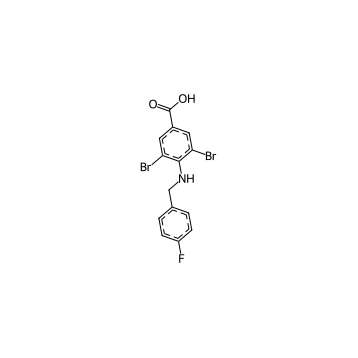 O=C(O)c1cc(Br)c(NCc2ccc(F)cc2)c(Br)c1